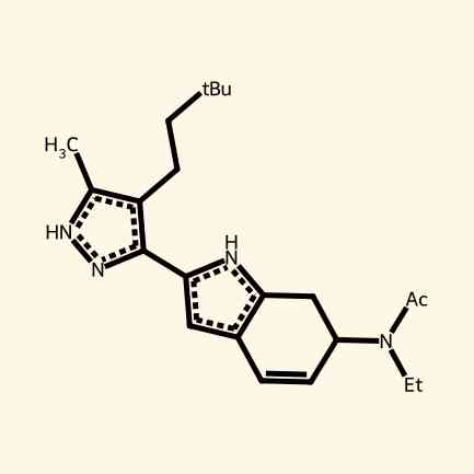 CCN(C(C)=O)C1C=Cc2cc(-c3n[nH]c(C)c3CCC(C)(C)C)[nH]c2C1